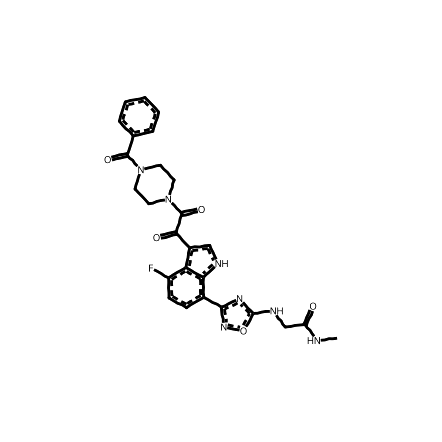 CNC(=O)CNc1nc(-c2ccc(F)c3c(C(=O)C(=O)N4CCN(C(=O)c5ccccc5)CC4)c[nH]c23)no1